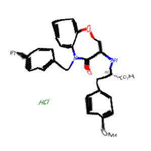 COc1ccc(C[C@H](NC2COc3ccccc3N(Cc3ccc(C(C)C)cc3)C2=O)C(=O)O)cc1.Cl